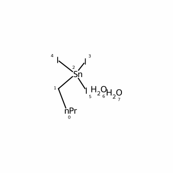 CCC[CH2][Sn]([I])([I])[I].O.O